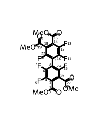 COC(=O)c1c(F)c(F)c(-c2c(F)c(F)c(C(=O)OC)c(C(=O)OC)c2F)c(F)c1C(=O)OC